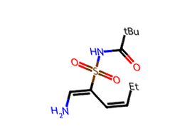 CC/C=C\C(=C/N)S(=O)(=O)NC(=O)C(C)(C)C